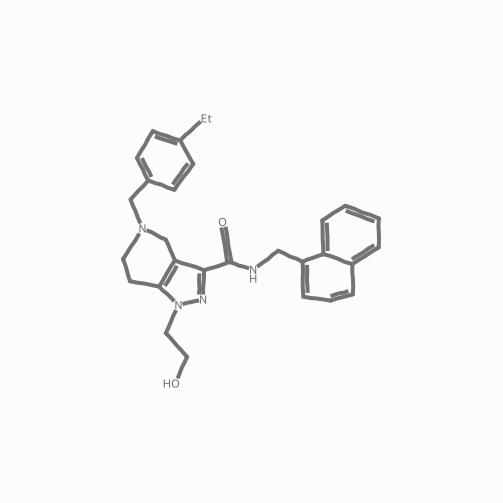 CCc1ccc(CN2CCc3c(c(C(=O)NCc4cccc5ccccc45)nn3CCO)C2)cc1